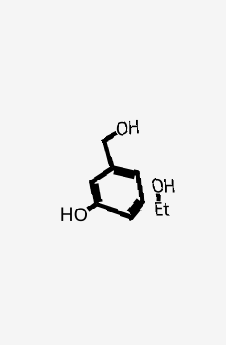 CCO.OCc1cccc(O)c1